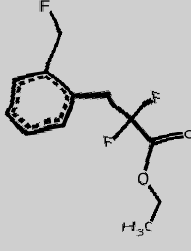 CCOC(=O)C(F)(F)Cc1ccccc1CF